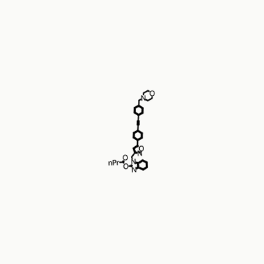 CCCC(=O)Oc1nc2ccccc2n1Cc1cc(-c2ccc(C#Cc3ccc(CN4CCOCC4)cc3)cc2)on1